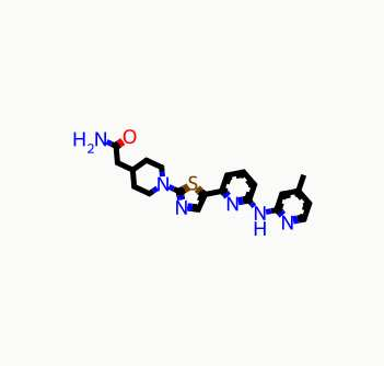 Cc1ccnc(Nc2cccc(-c3cnc(N4CCC(CC(N)=O)CC4)s3)n2)c1